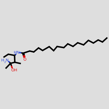 CCCCCCCCCCCCCCCCCC(=O)NC(CC)C(C)C(C)(N)O